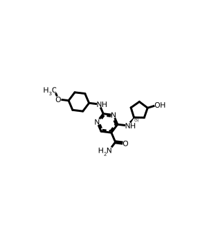 COC1CCC(Nc2ncc(C(N)=O)c(N[C@H]3CCC(O)C3)n2)CC1